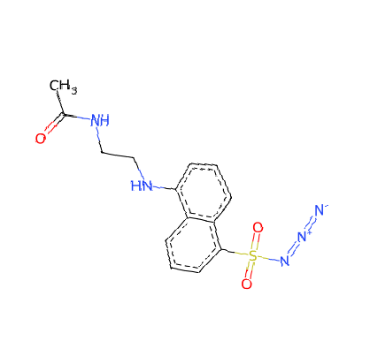 CC(=O)NCCNc1cccc2c(S(=O)(=O)N=[N+]=[N-])cccc12